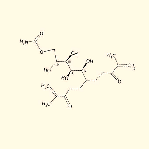 C=C(C)C(=O)CCC(CCC(=O)C(=C)C)[C@H](O)[C@@H](O)[C@H](O)[C@H](O)COC(N)=O